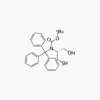 CC(C)(C)OC(=O)N([C@H](CO)CS)C(c1ccccc1)(c1ccccc1)c1ccccc1